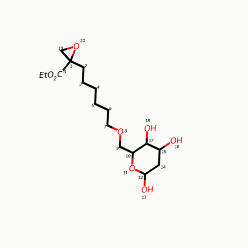 CCOC(=O)C1(CCCCCCOCC2OC(O)CC(O)C2O)CO1